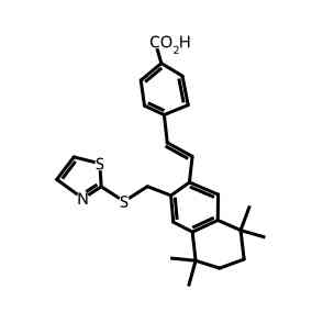 CC1(C)CCC(C)(C)c2cc(CSc3nccs3)c(/C=C/c3ccc(C(=O)O)cc3)cc21